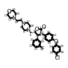 O=C1O[C@@H](CN2CCN(CCN3CCOCC3)CC2)[C@H](c2cccc(F)c2)N1c1ccc(Oc2ccc(Cl)cc2)cc1